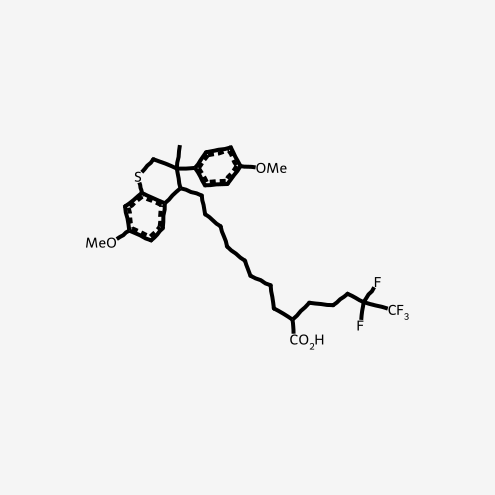 COc1ccc(C2(C)CSc3cc(OC)ccc3C2CCCCCCCCC(CCCC(F)(F)C(F)(F)F)C(=O)O)cc1